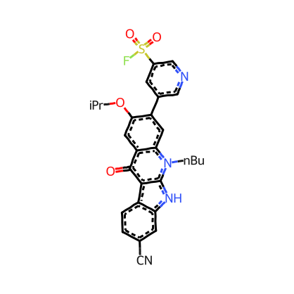 CCCCn1c2cc(-c3cncc(S(=O)(=O)F)c3)c(OC(C)C)cc2c(=O)c2c3ccc(C#N)cc3[nH]c21